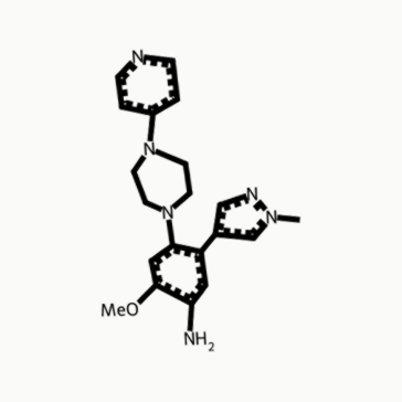 COc1cc(N2CCN(c3ccncc3)CC2)c(-c2cnn(C)c2)cc1N